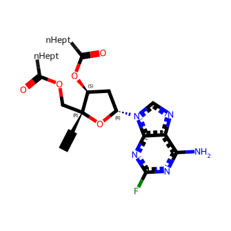 C#C[C@]1(COC(=O)CCCCCCC)O[C@@H](n2cnc3c(N)nc(F)nc32)C[C@@H]1OC(=O)CCCCCCC